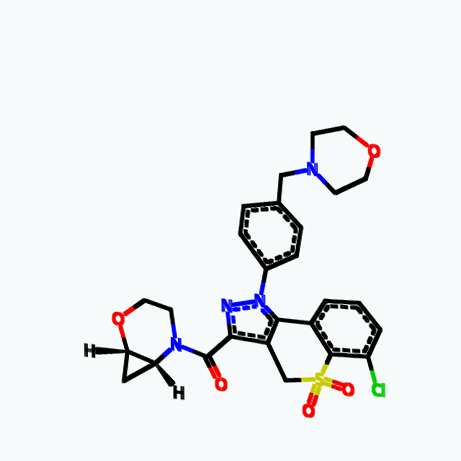 O=C(c1nn(-c2ccc(CN3CCOCC3)cc2)c2c1CS(=O)(=O)c1c(Cl)cccc1-2)N1CCO[C@H]2C[C@H]21